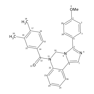 COc1ccc(-c2ncc3n2CN(C(=O)c2ccc(C)c(C)c2)c2ccccc2-3)cc1